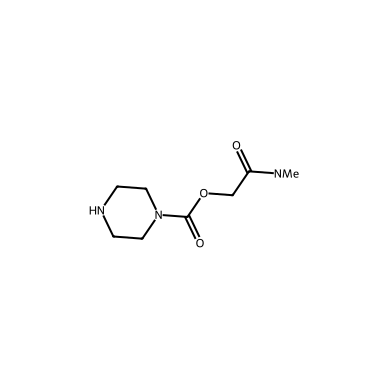 CNC(=O)COC(=O)N1CCNCC1